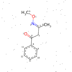 CON=C(C)CC(=O)c1ccccc1